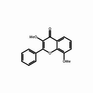 COc1c(-c2ccccc2)oc2c(OC)cccc2c1=O